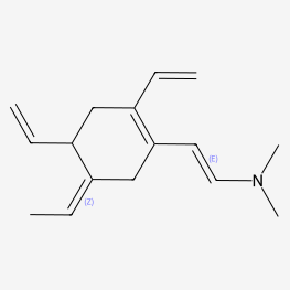 C=CC1=C(/C=C/N(C)C)C/C(=C/C)C(C=C)C1